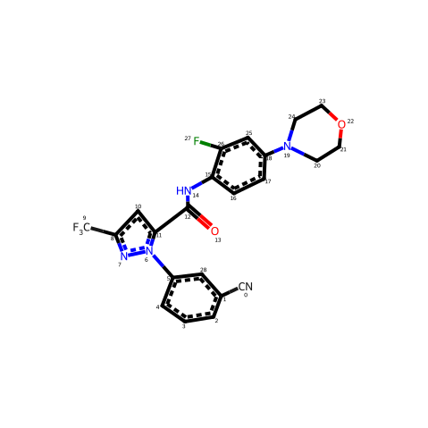 N#Cc1cccc(-n2nc(C(F)(F)F)cc2C(=O)Nc2ccc(N3CCOCC3)cc2F)c1